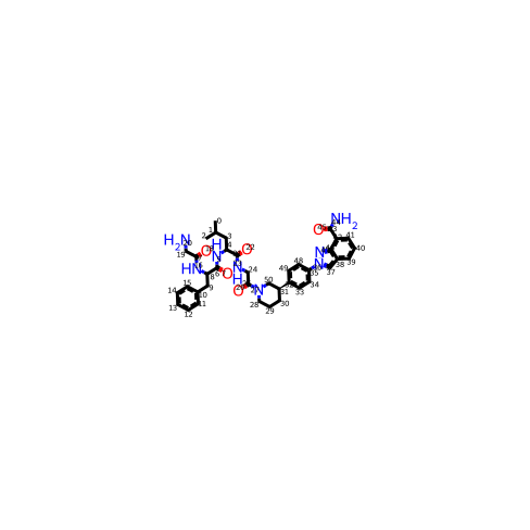 CC(C)CC(NC(=O)C(Cc1ccccc1)NC(=O)CN)C(=O)NCC(=O)N1CCC[C@H](c2ccc(-n3cc4cccc(C(N)=O)c4n3)cc2)C1